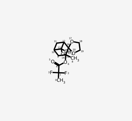 CC(F)(F)C(=O)OC1(C)CC2CC(C2(C)C)C12OCCO2